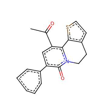 CC(=O)c1cc(-c2ccccc2)c(=O)n2c1-c1sccc1CC2